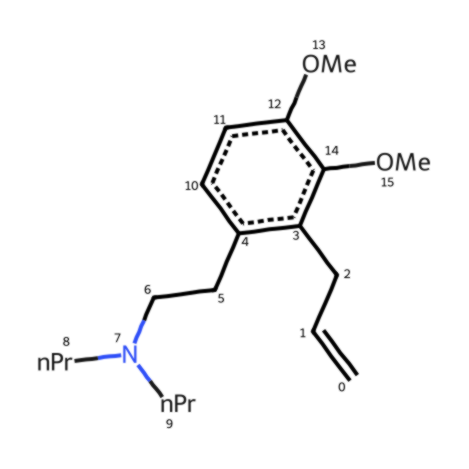 C=CCc1c(CCN(CCC)CCC)ccc(OC)c1OC